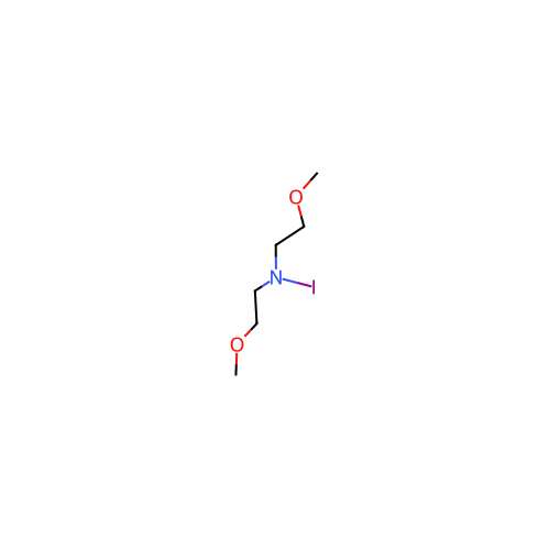 COCCN(I)CCOC